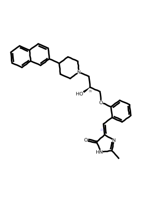 CC1=N/C(=C\c2ccccc2OC[C@@H](O)CN2CCC(c3ccc4ccccc4c3)CC2)C(=O)N1